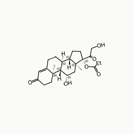 CCC(=O)O[C@@]1(C(=O)CO)CC[C@H]2[C@@H]3CCC4=CC(=O)CC[C@]4(C)[C@H]3[C@@H](O)C[C@@]21C